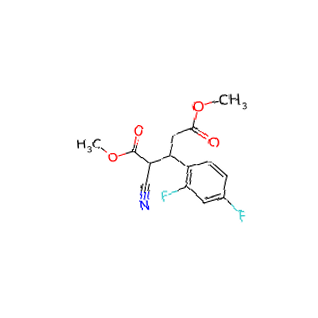 COC(=O)CC(c1ccc(F)cc1F)C(C#N)C(=O)OC